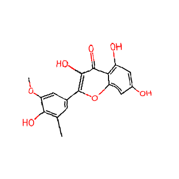 COc1cc(-c2oc3cc(O)cc(O)c3c(=O)c2O)cc(C)c1O